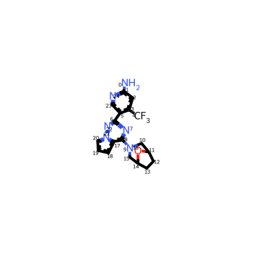 Nc1cc(C(F)(F)F)c(-c2nc(N3CC4CCC(C3)O4)c3cccn3n2)cn1